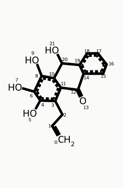 C=CCc1c(O)c(O)c(O)c2c1C(=O)c1ccccc1C2O